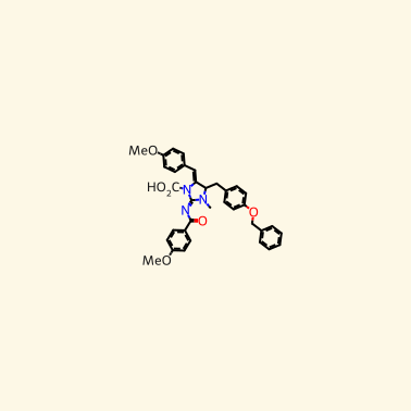 COc1ccc(/C=C2/C(Cc3ccc(OCc4ccccc4)cc3)N(C)/C(=N\C(=O)c3ccc(OC)cc3)N2C(=O)O)cc1